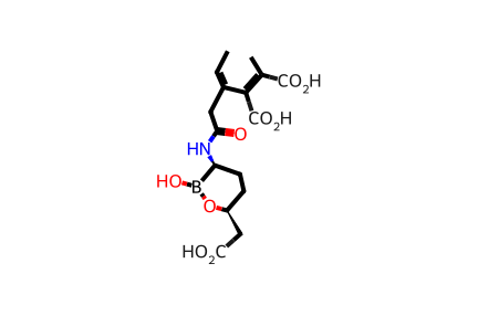 C/C=C(CC(=O)N[C@H]1CC[C@@H](CC(=O)O)OB1O)\C(C(=O)O)=C(/C)C(=O)O